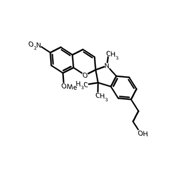 COc1cc([N+](=O)[O-])cc2c1OC1(C=C2)N(C)c2ccc(CCO)cc2C1(C)C